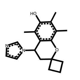 Cc1c(C)c2c(c(C)c1O)C(n1ccnc1)CC1(CCC1)O2